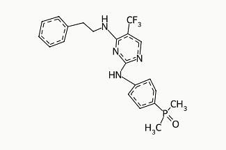 CP(C)(=O)c1ccc(Nc2ncc(C(F)(F)F)c(NCCc3ccccc3)n2)cc1